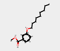 CCCCCCCCCOc1cccc(C(=O)OC)c1